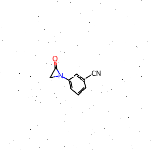 N#Cc1cccc(N2CC2=O)c1